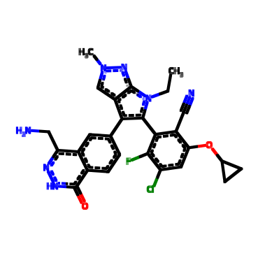 CCn1c(-c2c(F)c(Cl)cc(OC3CC3)c2C#N)c(-c2ccc3c(=O)[nH]nc(CN)c3c2)c2cn(C)nc21